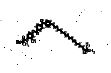 CCC(C)C(C)C(=O)Oc1ccc(OC(=O)c2ccc(C(=O)c3ccc(CCCCCCCCCCCCCCCCCCC(C)(C)CC)cc3)cc2)cc1C#N